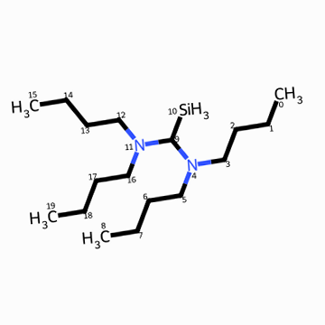 CCCCN(CCCC)C([SiH3])N(CCCC)CCCC